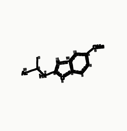 COc1ccc2oc(NC(C)C(C)=O)nc2c1